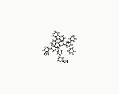 N#Cc1cccc(-c2ccc3c(c2)c2cc(-c4cccc(C#N)c4)ccc2n3-c2cc(-c3nc(-c4ccccc4)cc(-c4ccccc4)n3)ccc2-c2ccccc2-n2c3ccccc3c3ccccc32)c1